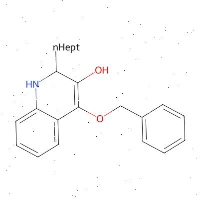 CCCCCCCC1Nc2ccccc2C(OCc2ccccc2)=C1O